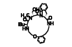 CCC(C)[C@@H]1NCCOc2ccccc2CCCNC(=O)[C@@H](Cc2ccccc2)NC(=O)[C@@H](CO)N(C)C1=O